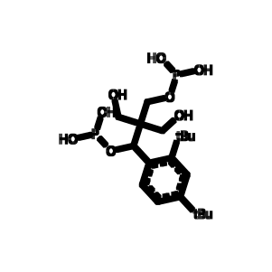 CC(C)(C)c1ccc(C(OP(O)O)C(CO)(CO)COP(O)O)c(C(C)(C)C)c1